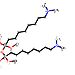 CCO[Si](CCCCCCCCN(C)C)(OCC)O[Si](CCCCCCCCN(C)C)(OCC)OCC